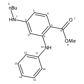 CCCCNc1ccc(C(=O)OC)c(Nc2ccccc2)c1